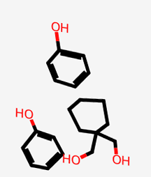 OCC1(CO)CCCCC1.Oc1ccccc1.Oc1ccccc1